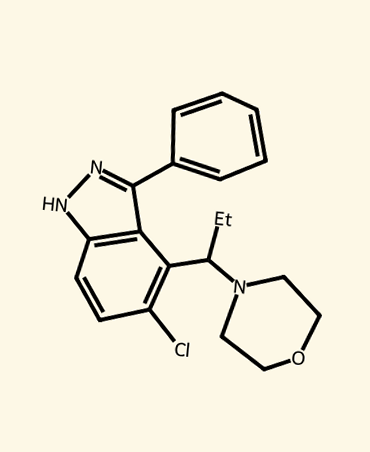 CCC(c1c(Cl)ccc2[nH]nc(-c3ccccc3)c12)N1CCOCC1